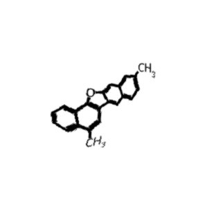 Cc1ccc2cc3c(cc2c1)oc1c2ccccc2c(C)cc31